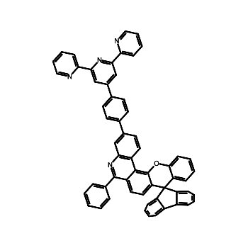 c1ccc(-c2nc3cc(-c4ccc(-c5cc(-c6ccccn6)nc(-c6ccccn6)c5)cc4)ccc3c3c4c(ccc23)C2(c3ccccc3O4)c3ccccc3-c3ccccc32)cc1